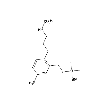 CC(C)(C)[Si](C)(C)OCc1cc(N)ccc1CCCNC(=O)O